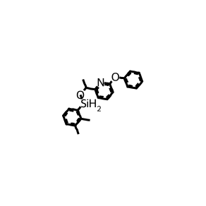 Cc1cccc([SiH2]OC(C)c2cccc(Oc3ccccc3)n2)c1C